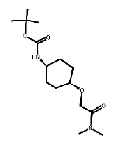 CN(C)C(=O)CO[C@H]1CC[C@@H](NC(=O)OC(C)(C)C)CC1